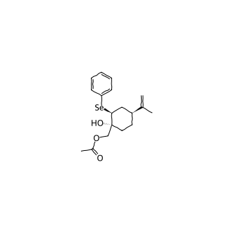 C=C(C)[C@H]1CC[C@@](O)(COC(C)=O)[C@@H]([Se]c2ccccc2)C1